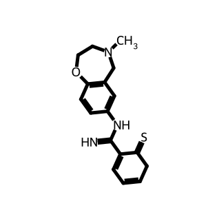 CN1CCOc2ccc(NC(=N)C3=CC=CCC3=S)cc2C1